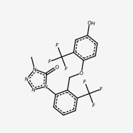 Cn1nnn(-c2cccc(C(F)(F)F)c2COc2ccc(O)cc2C(F)(F)F)c1=O